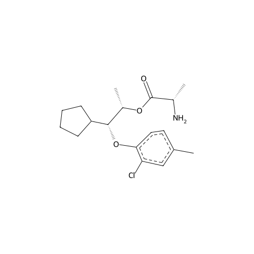 Cc1ccc(O[C@H](C2CCCC2)[C@H](C)OC(=O)[C@H](C)N)c(Cl)c1